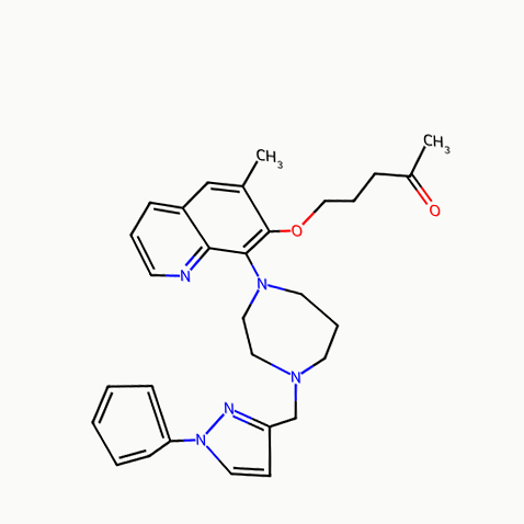 CC(=O)CCCOc1c(C)cc2cccnc2c1N1CCCN(Cc2ccn(-c3ccccc3)n2)CC1